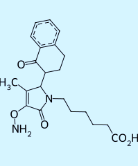 CC1=C(ON)C(=O)N(CCCCCC(=O)O)C1C1CCc2ccccc2C1=O